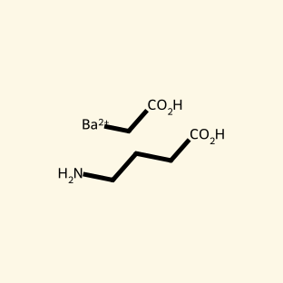 NCCCC(=O)O.O=C(O)[CH2][Ba+2]